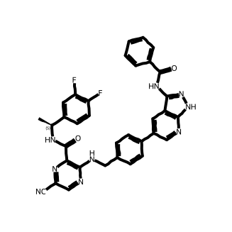 C[C@H](NC(=O)c1nc(C#N)cnc1NCc1ccc(-c2cnc3[nH]nc(NC(=O)c4ccccc4)c3c2)cc1)c1ccc(F)c(F)c1